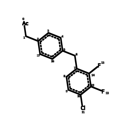 CC(=O)Cc1ccc(Cc2ccc(Cl)c(F)c2F)cc1